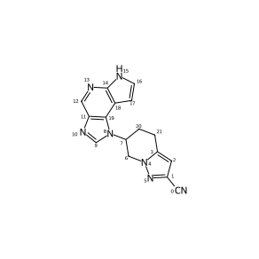 N#Cc1cc2n(n1)CC(n1cnc3cnc4[nH]ccc4c31)CC2